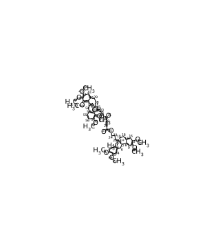 COc1ccc(CC2c3cc(OC)c(OC)cc3CC[N+]2(C)CCCOC(=O)C#CC(=O)OCCC[N+]2(C)CCc3cc(OC)c(OC)c(OC)c3C2Cc2ccc(OC)c(OC)c2)cc1OC